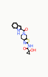 O=C(c1cc2ccccc2[nH]1)N1CCc2nc(NC(=O)C3(O)CC3)sc2C1